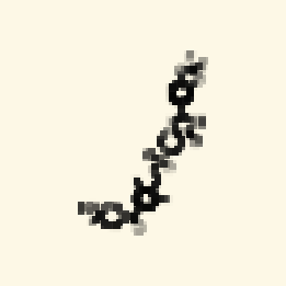 Cc1cc(C(=O)N2CCC(C)(O)CC2)cc(C)c1CCS(=O)(=O)N1CCC2(CC1)N=C(c1ccc3c(c1)OC(F)(F)O3)NC2=O